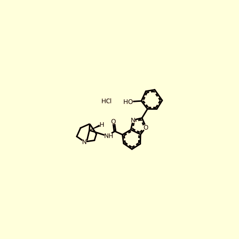 Cl.O=C(N[C@@H]1CN2CCC1CC2)c1cccc2oc(-c3ccccc3O)nc12